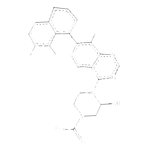 CC1CN(C(=O)O)CCN1c1ncnc2c(F)c(-c3cccc4ccc(F)c(Cl)c34)ncc12